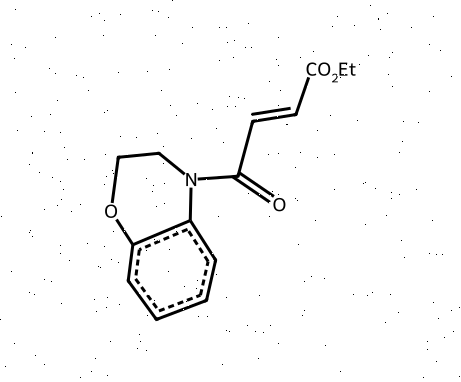 CCOC(=O)C=CC(=O)N1CCOc2ccccc21